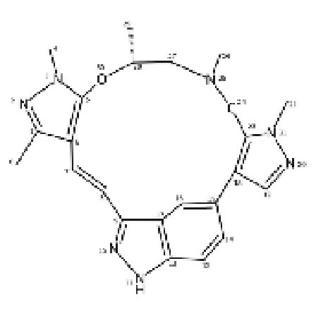 Cc1nn(C)c2c1/C=C/c1n[nH]c3ccc(cc13)-c1cnn(C)c1CN(C)C[C@@H](C)O2